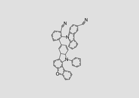 N#Cc1ccc2c(c1)c1ccccc1n2-c1c(C#N)cccc1C1=CC2c3ccc4oc5ccccc5c4c3N(c3ccccc3)C2C=C1